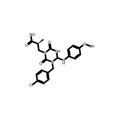 CC(C)Oc1ccc(NC2NC(=O)N(C[C@H](C)C(=O)N=O)C(=O)N2Cc2ccc(Cl)cc2)cc1